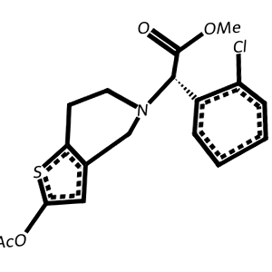 COC(=O)[C@H](c1ccccc1Cl)N1CCc2sc(OC(C)=O)cc2C1